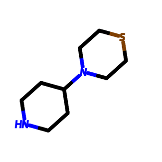 C1CC(N2CCSCC2)CCN1